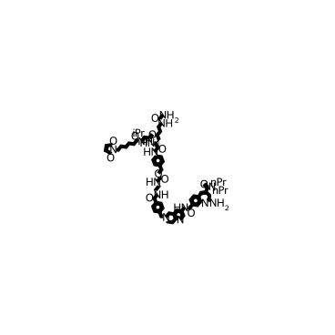 CCCN(CCC)C(=O)C1=Cc2ccc(C(=O)Nc3cnc4c(c3)CN(Cc3ccc(C(=O)NCCNC(=O)OCc5ccc(NC(=O)[C@H](CCCCNC(N)=O)NC(=O)[C@@H](NC(=O)CCCCCN6C(=O)C=CC6=O)C(C)C)cc5)cc3)CC4)cc2N=C(N)C1